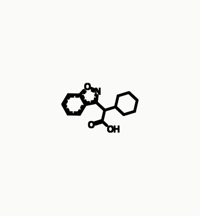 O=C(O)C(c1noc2ccccc12)C1CCCCC1